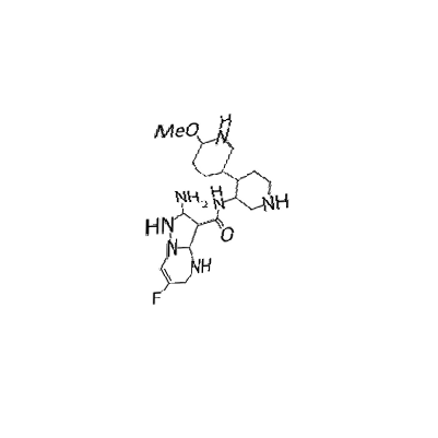 COC1CCC(C2CCNCC2NC(=O)C2C(N)NN3C=C(F)CNC23)CN1